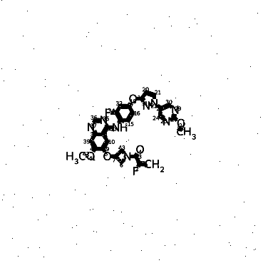 C=C(F)C(=O)N1CC(Oc2cc3c(Nc4ccc(Oc5ccn(-c6cnc(OC)nc6)n5)cc4F)ncnc3cc2OC)C1